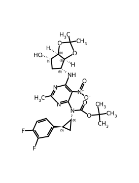 Cc1nc(N[C@@H]2C[C@H](O)[C@H]3OC(C)(C)O[C@H]32)c([N+](=O)[O-])c(N(C(=O)OC(C)(C)C)[C@@H]2C[C@H]2c2ccc(F)c(F)c2)n1